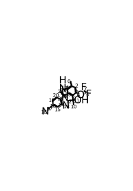 Cc1cc(OC(F)F)c(C(C)(O)c2nc3cc(C#N)ccc3[nH]2)c2cc[nH]c12